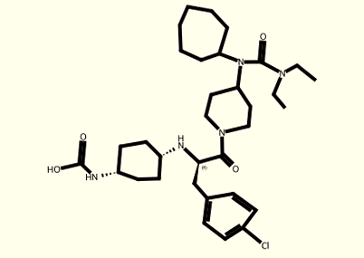 CCN(CC)C(=O)N(C1CCCCCC1)C1CCN(C(=O)[C@@H](Cc2ccc(Cl)cc2)N[C@H]2CC[C@@H](NC(=O)O)CC2)CC1